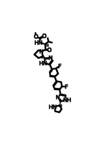 COC(=O)N[C@H](C(=O)N1CCC[C@H]1c1ncc(C2=CC=C(C3=CC=C(c4c[nH]c([C@@H]5CCCN5)n4)C(F)C3)CC2F)[nH]1)C(C)C